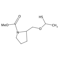 COC(=O)N1CCCC1COC(C)S